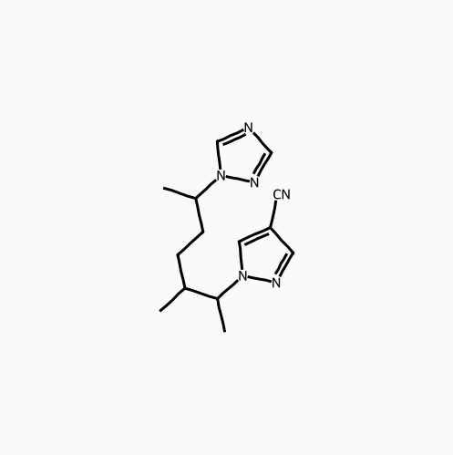 CC(CCC(C)n1cncn1)C(C)n1cc(C#N)cn1